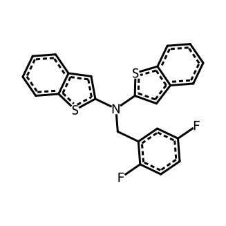 Fc1ccc(F)c(CN(c2cc3ccccc3s2)c2cc3ccccc3s2)c1